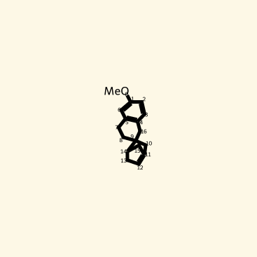 COc1ccc2c(c1)CCC1(CC3=CCC1C3)C2